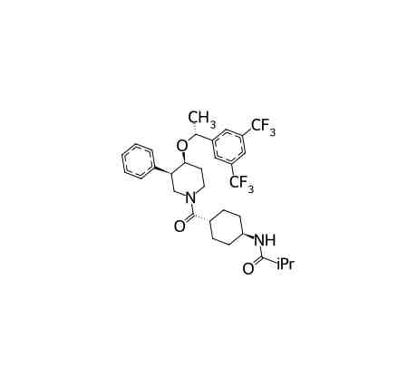 CC(C)C(=O)N[C@H]1CC[C@H](C(=O)N2CC[C@H](O[C@H](C)c3cc(C(F)(F)F)cc(C(F)(F)F)c3)[C@H](c3ccccc3)C2)CC1